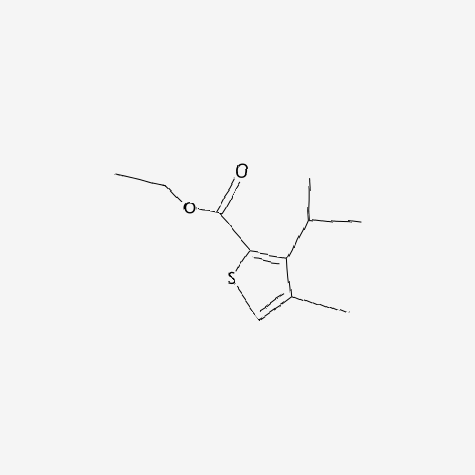 CCOC(=O)c1scc(C)c1C(C)C